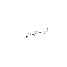 O=NPOOI